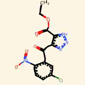 CCOC(=O)c1[nH]nnc1C(=O)c1cc(Cl)ccc1[N+](=O)[O-]